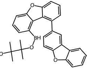 CC(C)(O)C(C)(C)OBc1cccc2oc3cccc(-c4ccc5oc6ccccc6c5c4)c3c12